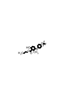 CCCCOC(=O)c1c(O)ccc(Sc2ccc(OC(F)(F)F)cc2)c1C